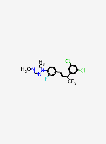 C=N/C=N\N(C)c1ccc(/C=C/C(c2cc(Cl)cc(Cl)c2)C(F)(F)F)cc1F